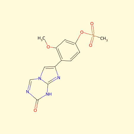 COc1cc(OS(C)(=O)=O)ccc1-c1cn2cnc(=O)[nH]c2n1